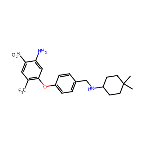 CC1(C)CCC(NCc2ccc(Oc3cc(N)c([N+](=O)[O-])cc3C(F)(F)F)cc2)CC1